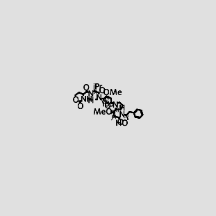 CC[C@H](C)[C@@H]([C@@H](CC(=O)N1CCC[C@H]1[C@H](OC)[C@@H](C)C(=O)N[C@H](CO)Cc1ccccc1)OC)N(C)C(=O)[C@@H](NC(=O)C1CCOC(=O)N1)C(C)C